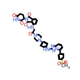 CS(=O)(=O)c1ccc(-c2cccc3nc(Nc4ccc(N5CCN(C(=O)CNc6cccc7c6C(=O)N(C6CCC(=O)NC6=O)C7=O)CC5)cc4)nn23)cc1